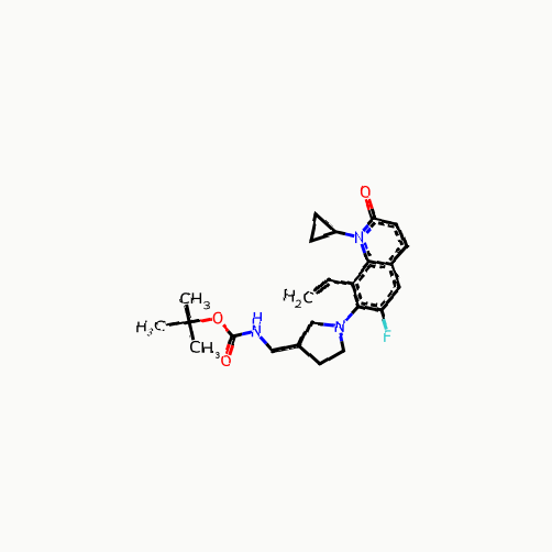 C=Cc1c(N2CCC(CNC(=O)OC(C)(C)C)C2)c(F)cc2ccc(=O)n(C3CC3)c12